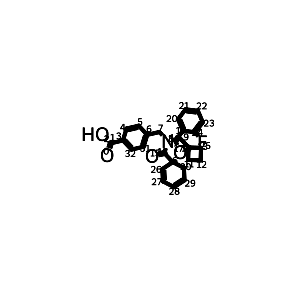 O=C(O)c1ccc(CN(CC2CCC2)C(=O)C2(OCc3ccccc3F)C=CC=CC2)cc1